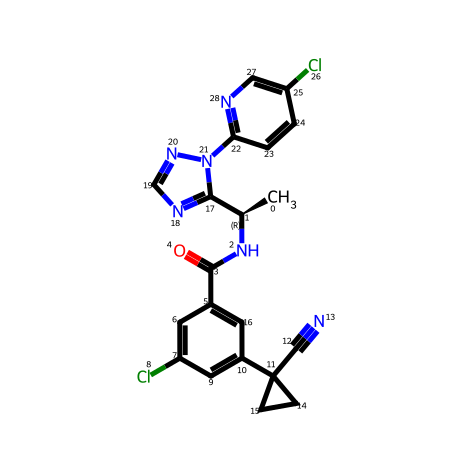 C[C@@H](NC(=O)c1cc(Cl)cc(C2(C#N)CC2)c1)c1ncnn1-c1ccc(Cl)cn1